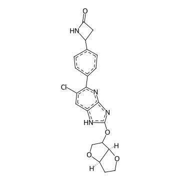 O=C1CC(c2ccc(-c3nc4nc(OC5CO[C@@H]6CCO[C@H]56)[nH]c4cc3Cl)cc2)N1